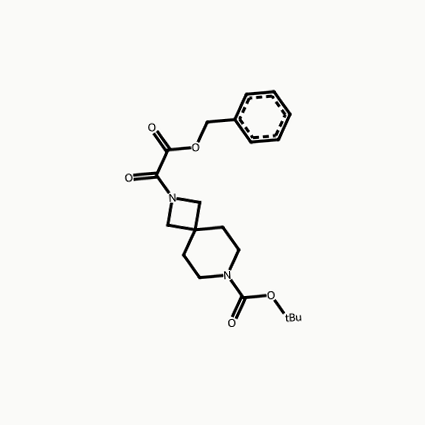 CC(C)(C)OC(=O)N1CCC2(CC1)CN(C(=O)C(=O)OCc1ccccc1)C2